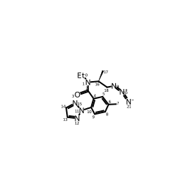 CCN(C(=O)c1cc(C)ccc1-n1nccn1)[C@@H](C)CN=[N+]=[N-]